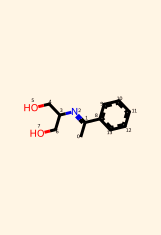 C/C(=N\C(CO)CO)c1ccccc1